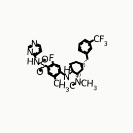 CN(C)[C@H]1C[C@@H](Cc2cccc(C(F)(F)F)c2)CC[C@@H]1Nc1cc(F)c(S(=O)(=O)Nc2ccncn2)cc1Cl